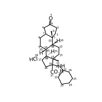 C[C@]12CCC(=O)CC1CC[C@@H]1[C@H]2CC[C@@]2(C)[C@H]1CCC2(NC1CCCCC1)C(=O)O.Cl